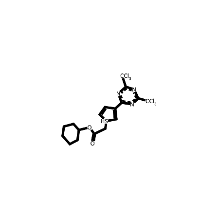 O=C(C[SH]1C=CC(c2nc(C(Cl)(Cl)Cl)nc(C(Cl)(Cl)Cl)n2)=C1)OC1CCCCC1